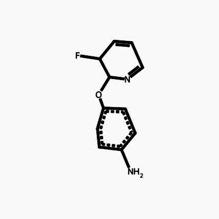 Nc1ccc(OC2N=CC=CC2F)cc1